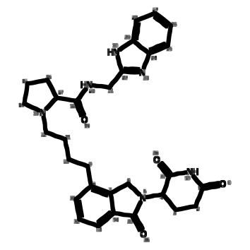 O=C1CCC(N2Cc3c(CCCCN4CCCC4C(=O)NCc4nc5ccccc5[nH]4)cccc3C2=O)C(=O)N1